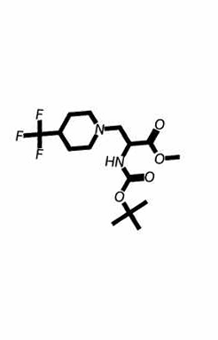 COC(=O)C(CN1CCC(C(F)(F)F)CC1)NC(=O)OC(C)(C)C